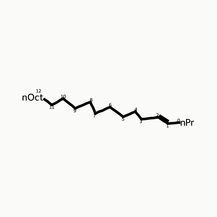 [CH2]CCC=CCCCCCCCCCCCCCCCC[CH2]